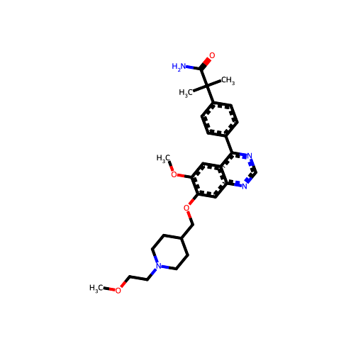 COCCN1CCC(COc2cc3ncnc(-c4ccc(C(C)(C)C(N)=O)cc4)c3cc2OC)CC1